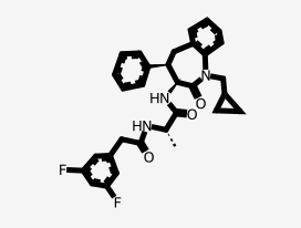 C[C@H](NC(=O)Cc1cc(F)cc(F)c1)C(=O)N[C@@H]1C(=O)N(CC2CC2)c2ccccc2C[C@@H]1c1ccccc1